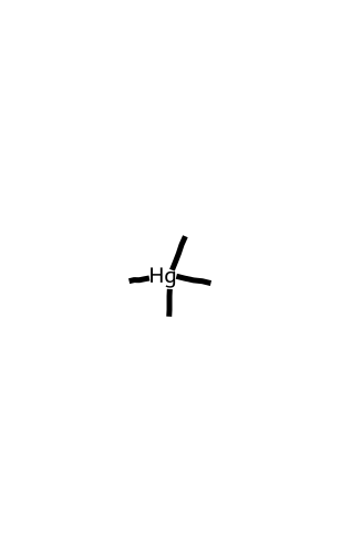 [CH3][Hg]([CH3])([CH3])[CH3]